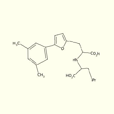 Cc1cc(C)cc(-c2ccc(CC(NC(CC(C)C)C(=O)O)C(=O)O)o2)c1